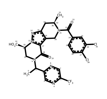 CC(c1cnc(C(F)(F)F)cn1)N1C[C@@H](C(=O)O)n2nc3c(c2C1=O)CN(C(=O)c1ccc(Cl)c(Cl)c1)[C@H](C)C3